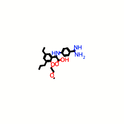 CCCc1cc(CC)cc([C@@H](Nc2ccc(C(=N)N)cc2)C(=O)O)c1OCCOC